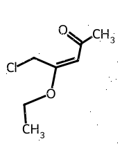 CCO/C(=C/C(C)=O)CCl